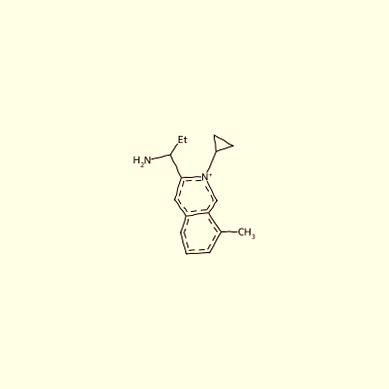 CCC(N)c1cc2cccc(C)c2c[n+]1C1CC1